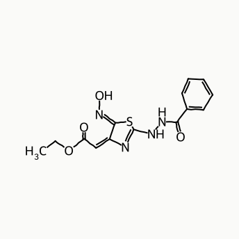 CCOC(=O)C=C1N=C(NNC(=O)c2ccccc2)SC1=NO